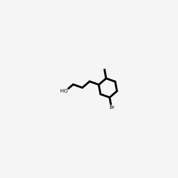 CC1CCC(Br)CC1CCCO